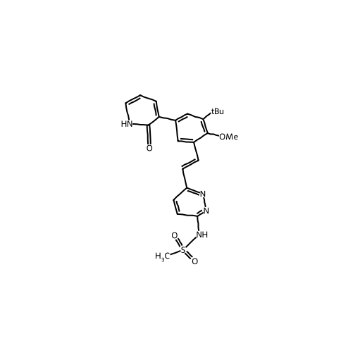 COc1c(C=Cc2ccc(NS(C)(=O)=O)nn2)cc(-c2ccc[nH]c2=O)cc1C(C)(C)C